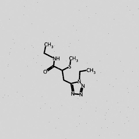 CCNC(=O)C(Cc1nnnn1CC)SC